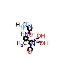 Cc1ccc(NC(=O)c2ccnc(C(C)(F)F)c2)cc1-c1cc(C2CCOCC2)nc(N(CCO)CCO)c1